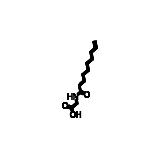 C=CCCCCCCCC(=O)NCC(=O)O